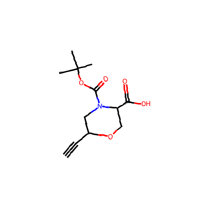 C#CC1CN(C(=O)OC(C)(C)C)C(C(=O)O)CO1